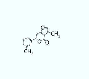 Cc1cccc(-c2cc3occ(C)c3c(=O)o2)c1